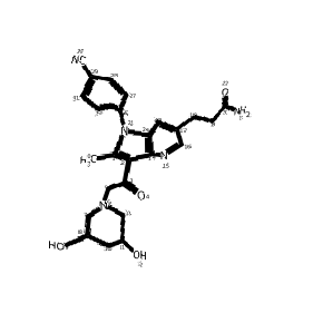 Cc1c(C(=O)CN2CC(O)CC(O)C2)c2ncc(CCC(N)=O)cc2n1-c1ccc(C#N)cc1